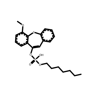 CCCCCCCOP(=O)(O)OC1=Cc2ccccc2Sc2c(OC)cccc21